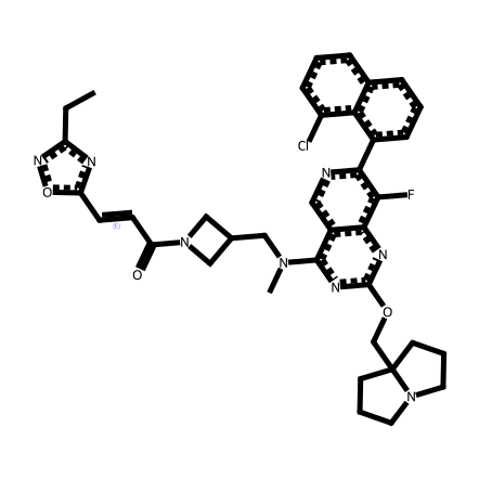 CCc1noc(/C=C/C(=O)N2CC(CN(C)c3nc(OCC45CCCN4CCC5)nc4c(F)c(-c5cccc6cccc(Cl)c56)ncc34)C2)n1